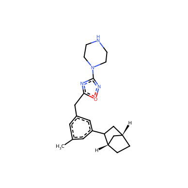 Cc1cc(Cc2nc(N3CCNCC3)no2)cc(C2C[C@@H]3CC[C@H]2C3)c1